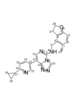 Fc1ccc2c(c1CNc1ncc(-c3ccc(C4CC4)nc3)c3nncn13)CCO2